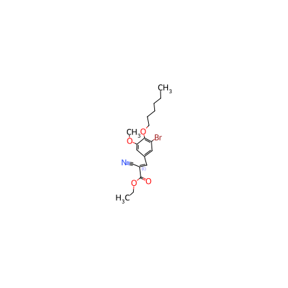 CCCCCCOc1c(Br)cc(/C=C(\C#N)C(=O)OCC)cc1OC